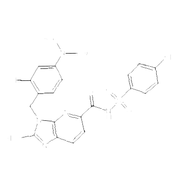 CCCCN(C)c1ccc(Cn2c(C)nc3ccc(C(=O)NS(=O)(=O)c4ccc(C)cc4)nc32)c(Cl)c1